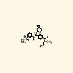 CN(CCO)C(=O)c1ccc(C(=O)Nc2cccc(S(=O)(=O)NC(C)(C)C)c2)c(N2CCC3(CC2)CC3)c1